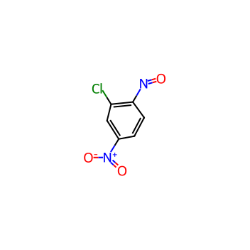 O=Nc1ccc([N+](=O)[O-])cc1Cl